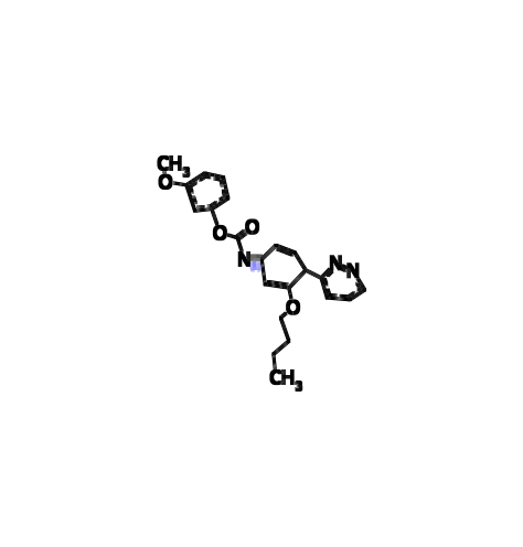 CCCCOC1=C/C(=N/C(=O)Oc2cccc(OC)c2)C=CC1c1cccnn1